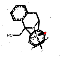 O=S(=O)(N1C2Cc3ccccc3C1(CO)c1ccccc12)C(F)(F)F